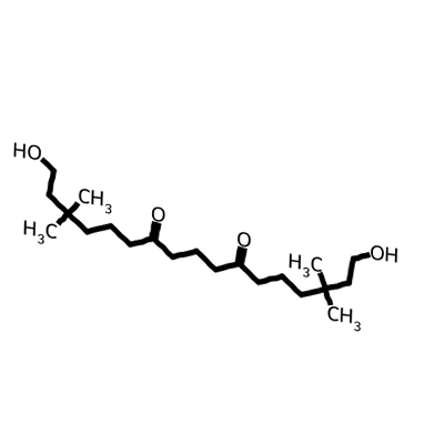 CC(C)(CCO)CCCC(=O)CCCC(=O)CCCC(C)(C)CCO